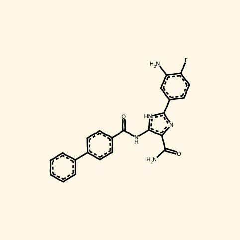 NC(=O)c1nc(-c2ccc(F)c(N)c2)[nH]c1NC(=O)c1ccc(-c2ccccc2)cc1